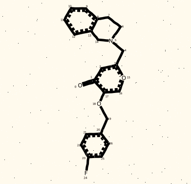 O=c1cc(CN2CCc3ccccc3C2)occ1OCc1ccc(F)cc1